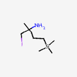 CC(N)(CI)CC[Si](C)(C)C